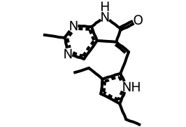 CCc1cc(CC)c(C=C2C(=O)Nc3nc(C)ncc32)[nH]1